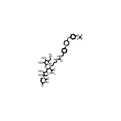 NCC1OC(OC(C(NCCCNC(=O)NCc2ccc(N3CCC(Oc4ccc(OC(F)(F)F)cc4)CC3)cc2)C(N)=O)C2OCC(O)(n3ccc(=O)[nH]c3=O)C2O)C(O)C1O